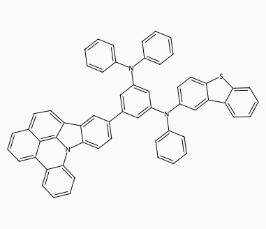 c1ccc(N(c2ccccc2)c2cc(-c3ccc4c(c3)c3ccc5cccc6c7ccccc7n4c3c56)cc(N(c3ccccc3)c3ccc4sc5ccccc5c4c3)c2)cc1